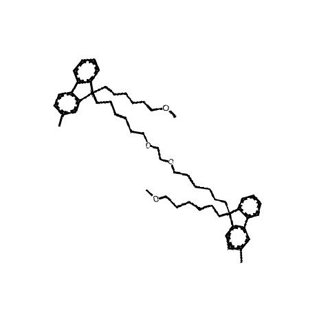 COCCCCCCC1(CCCCCCOCCOCCCCCCC2(CCCCCCOC)c3ccccc3-c3ccc(C)cc32)c2ccccc2-c2cc(C)ccc21